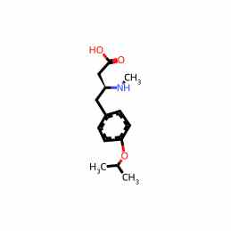 CN[C@H](CC(=O)O)Cc1ccc(OC(C)C)cc1